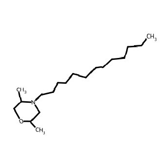 CCCCCCCCCCCCCN1CC(C)OCC1C